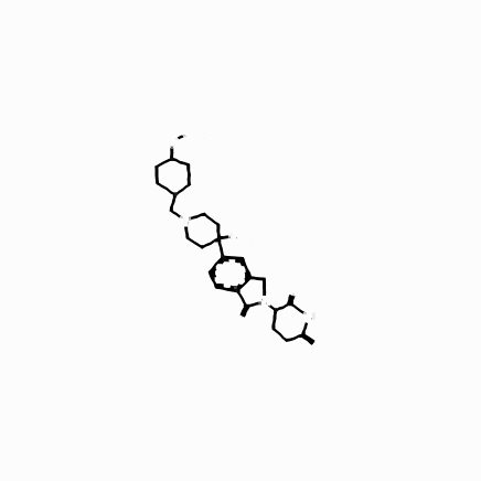 COC1CCC(CN2CCC(N)(c3ccc4c(c3)CN(C3CCC(=O)NC3=O)C4=O)CC2)CC1